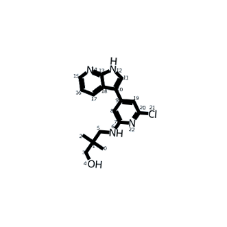 CC(C)(CO)CNc1cc(-c2c[nH]c3ncccc23)cc(Cl)n1